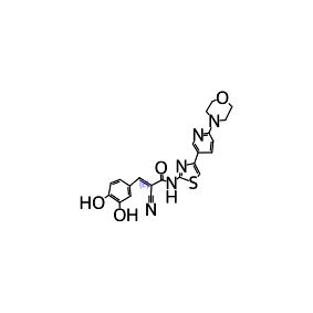 N#C/C(=C\c1ccc(O)c(O)c1)C(=O)Nc1nc(-c2ccc(N3CCOCC3)nc2)cs1